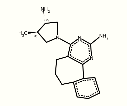 C[C@@H]1CN(c2nc(N)nc3c2CCCc2ccccc2-3)C[C@H]1N